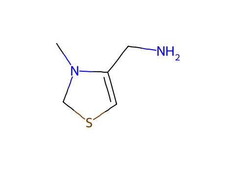 CN1CSC=C1CN